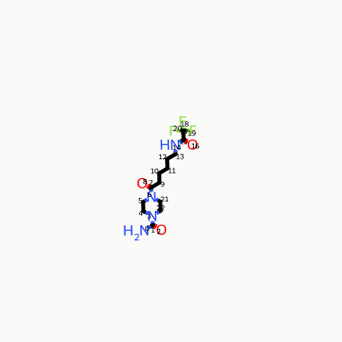 NC(=O)N1CCN(C(=O)CCCCCNC(=O)C(F)(F)F)CC1